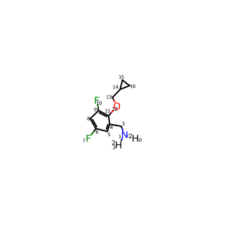 [2H]N([2H])Cc1cc(F)cc(F)c1OCC1CC1